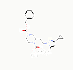 CCOC(=O)c1cc(C2CC2)nn1CC[C@@H]1CN(C(=O)OCc2ccccc2)CCN1C(=O)OC(C)(C)C